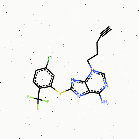 C#CCCCn1cnc(N)c2nc(Sc3cc(Cl)ccc3C(F)(F)F)nc1-2